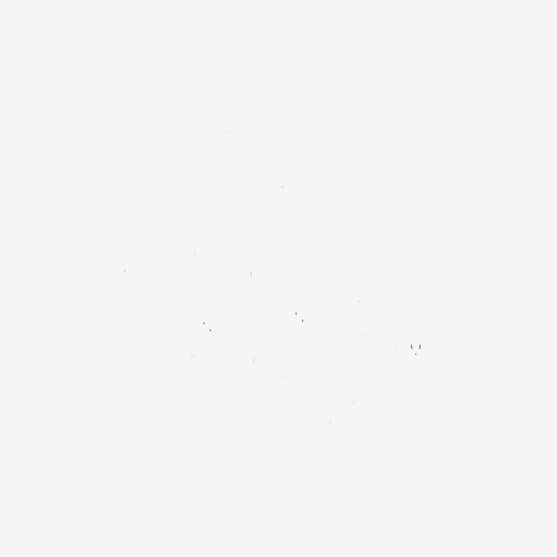 COC(=O)c1cccc(C)c1NC(=O)C[N+](C)(C)CC(=O)OCc1ccccc1